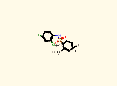 [2H]C1([2H])C=C(C(=O)OCC)[C@@]([2H])(S(=O)(=O)Nc2ccc(F)cc2Cl)CC1